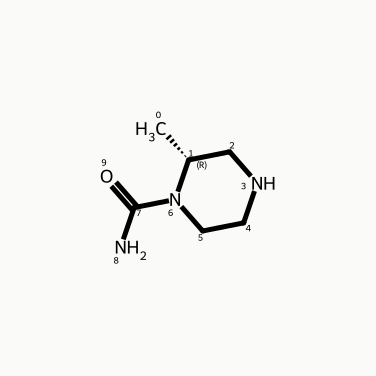 C[C@@H]1CNCCN1C(N)=O